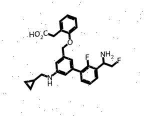 NC(CF)c1cccc(-c2cc(COc3ccccc3CC(=O)O)cc(NCC3CC3)c2)c1F